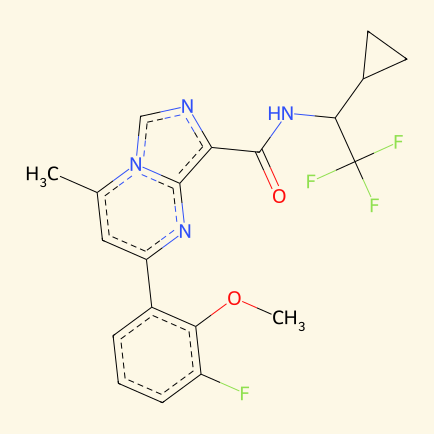 COc1c(F)cccc1-c1cc(C)n2cnc(C(=O)NC(C3CC3)C(F)(F)F)c2n1